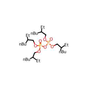 CCCCC(CC)COP(=O)(OCC(CC)CCCC)OP(=O)(OCC(CC)CCCC)OCC(CC)CCCC